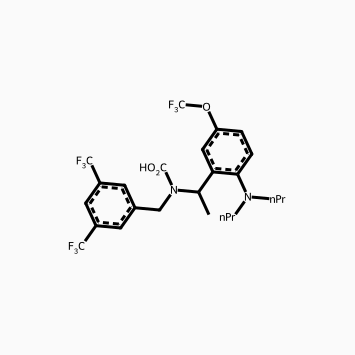 CCCN(CCC)c1ccc(OC(F)(F)F)cc1C(C)N(Cc1cc(C(F)(F)F)cc(C(F)(F)F)c1)C(=O)O